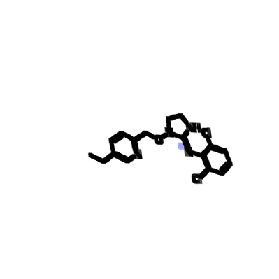 CCc1ccc(CON2CCN/C2=N\c2c(Cl)cccc2Cl)nc1